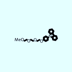 COCCOCCOCCOc1ccc(-n2c3ccccc3c3ccccc32)cc1